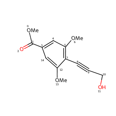 COC(=O)c1cc(OC)c(C#CCO)c(OC)c1